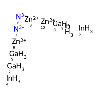 [GaH3].[GaH3].[GaH3].[InH3].[InH3].[InH3].[N-3].[N-3].[Zn+2].[Zn+2].[Zn+2]